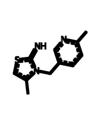 Cc1ccc(Cn2c(C)csc2=N)cn1